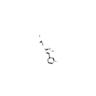 CCOC(=O)COc1nc(-c2cccc(F)c2)n(O)n1